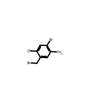 Cc1cc(CBr)c(Cl)cc1Br